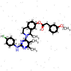 COc1cccc(CC(=O)Oc2ccc3c(c2)C(C)N(c2nc(Nc4ccc(F)cc4)nc(C)c2C)CC3)c1